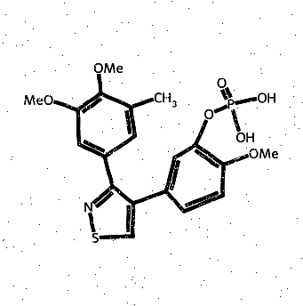 COc1ccc(-c2csnc2-c2cc(C)c(OC)c(OC)c2)cc1OP(=O)(O)O